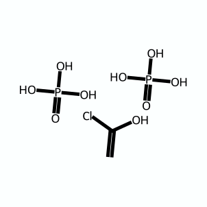 C=C(O)Cl.O=P(O)(O)O.O=P(O)(O)O